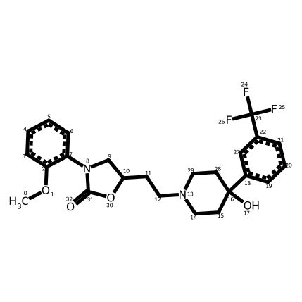 COc1ccccc1N1CC(CCN2CCC(O)(c3cccc(C(F)(F)F)c3)CC2)OC1=O